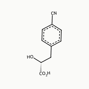 N#Cc1ccc(C[C@@H](O)C(=O)O)cc1